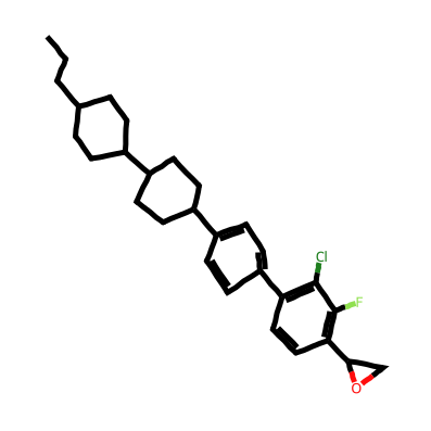 CCCC1CCC(C2CCC(c3ccc(-c4ccc(C5CO5)c(F)c4Cl)cc3)CC2)CC1